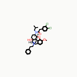 COc1ccc2c3c1O[C@H]1[C@H](N(CC(C)C)C(=O)Cc4ccc(Cl)c(Cl)c4)CC[C@@]4(O)[C@@H](C2)N(CCc2ccccc2)CC[C@]314